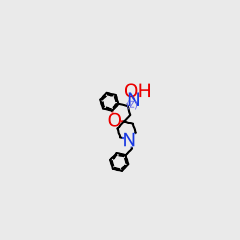 O/N=C1/CC2(CCN(Cc3ccccc3)CC2)Oc2ccccc21